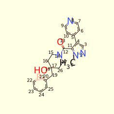 Cn1ncc(-c2ccncc2)c1C(=O)N1CCC(O)(Cc2bcccc2)CC1